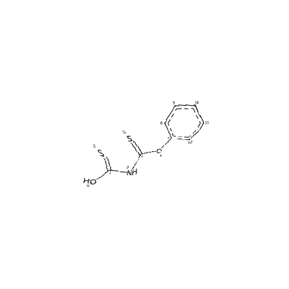 OC(=S)NC(=S)Oc1ccccc1